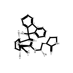 N#C[C@@H](C[C@H]1CCNC1=O)NC(=O)[C@@H]1[C@H]2CC[C@H](CC2(F)F)N1C(=O)C1(O)c2ccccc2-c2ccccc21